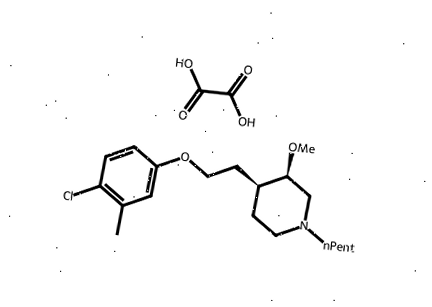 CCCCCN1CC[C@@H](CCOc2ccc(Cl)c(C)c2)[C@@H](OC)C1.O=C(O)C(=O)O